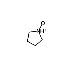 [O-][NH+]1CCCC1